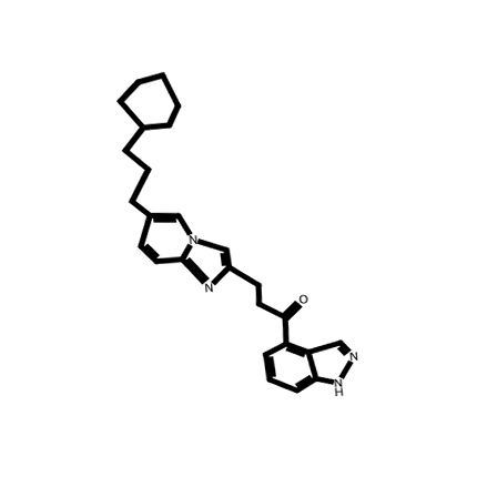 O=C(CCc1cn2cc(CCCC3CCCCC3)ccc2n1)c1cccc2[nH]ncc12